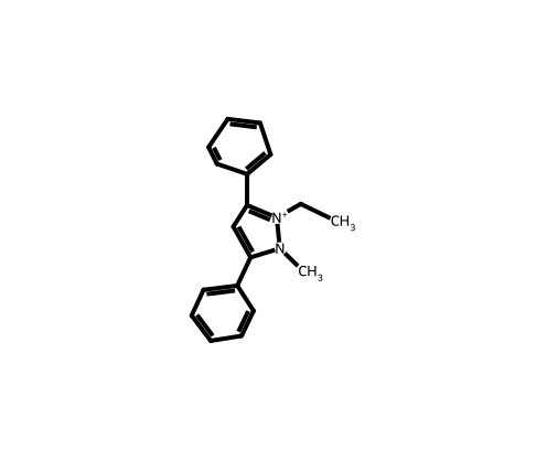 CC[n+]1c(-c2ccccc2)cc(-c2ccccc2)n1C